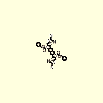 N#CC(C#N)=Nc1cc2c(s1)c1c(n2C(=O)OCc2ccccc2)=CC2C=c3c(n(C(=O)OCc4ccccc4)c4cc(N=C(C#N)C#N)sc34)=CC2C=1